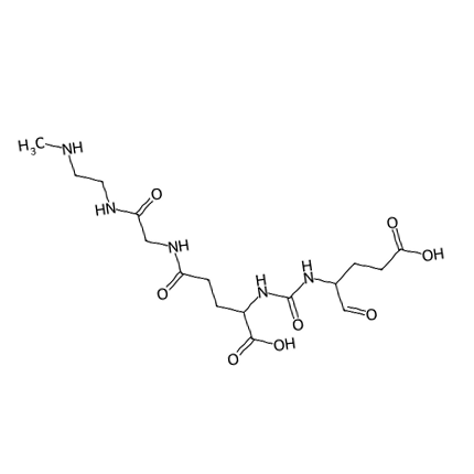 CNCCNC(=O)CNC(=O)CCC(NC(=O)NC(C=O)CCC(=O)O)C(=O)O